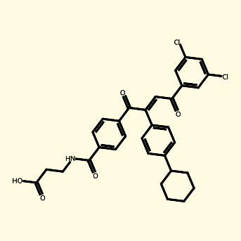 O=C(O)CCNC(=O)c1ccc(C(=O)C(=CC(=O)c2cc(Cl)cc(Cl)c2)c2ccc(C3CCCCC3)cc2)cc1